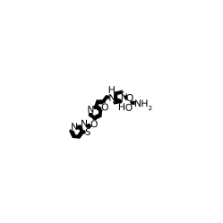 NC(=O)ON1C[C@@H]2C[C@H]1CN2Cc1cc2ncc(Oc3nc4ncccc4s3)cc2o1